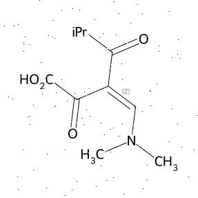 CC(C)C(=O)/C(=C/N(C)C)C(=O)C(=O)O